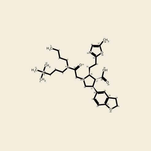 CCCCN(CCC[N+](C)(C)C)C(=O)CN1C[C@H](c2ccc3c(c2)CCO3)[C@@H](C(=O)O)[C@@H]1CCc1ncc(C)o1